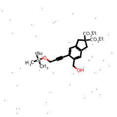 CCOC(=O)C1(C(=O)OCC)Cc2cc(C#CCO[Si](C)(C)C(C)(C)C)c(CO)cc2C1